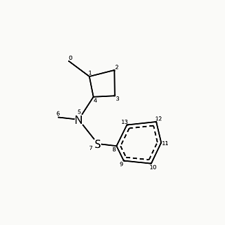 CC1CCC1N(C)Sc1ccccc1